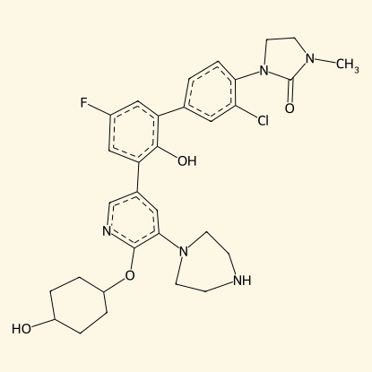 CN1CCN(c2ccc(-c3cc(F)cc(-c4cnc(OC5CCC(O)CC5)c(N5CCNCC5)c4)c3O)cc2Cl)C1=O